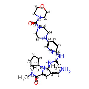 C=C(/N=C1\C(=C/N)C=C(C(=O)N(C)C)N1C1CCCC1)Nc1ccc(N2CCN(C(=O)N3CCOCC3)CC2)cn1